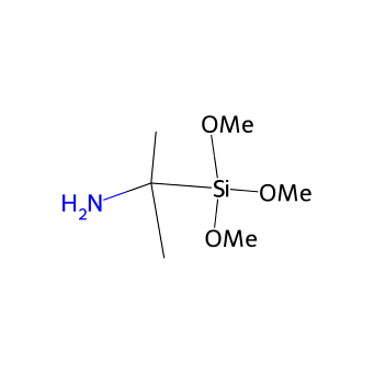 CO[Si](OC)(OC)C(C)(C)N